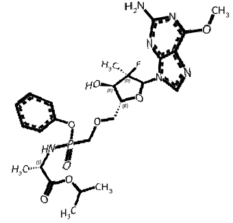 COc1nc(N)nc2c1ncn2C1O[C@H](COCP(=O)(N[C@@H](C)C(=O)OC(C)C)Oc2ccccc2)[C@@H](O)[C@@]1(C)F